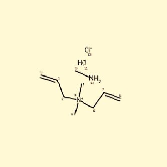 C=CC[N+](C)(C)CC=C.CN.Cl.[Cl-]